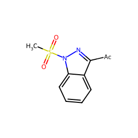 CC(=O)c1nn(S(C)(=O)=O)c2ccccc12